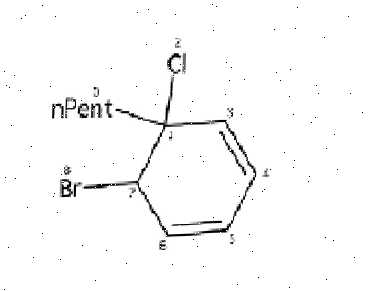 CCCCCC1(Cl)C=CC=CC1Br